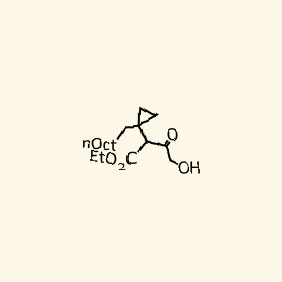 CCCCCCCCCC1(C(C(=O)CO)C(=O)OCC)CC1